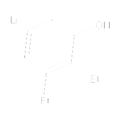 CCc1cccc(O)c1CC.[Li]